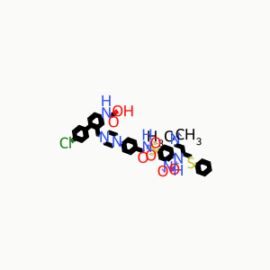 CN(C)CCC(CSc1ccccc1)Nc1ccc(S(=O)(=O)NC(=O)c2ccc(N3CCN(Cc4cc(NC(=O)O)ccc4-c4ccc(Cl)cc4)CC3)cc2)cc1[N+](=O)[O-]